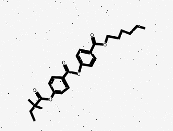 CCCCCCOC(=O)c1ccc(OC(=O)c2ccc(OC(=O)C(C)(C)CC)cc2)cc1